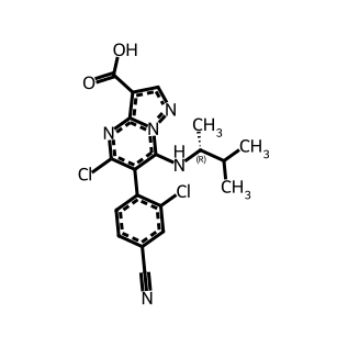 CC(C)[C@@H](C)Nc1c(-c2ccc(C#N)cc2Cl)c(Cl)nc2c(C(=O)O)cnn12